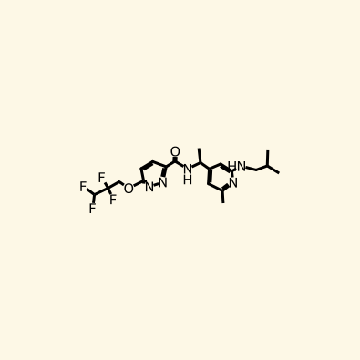 Cc1cc(C(C)NC(=O)c2ccc(OCC(F)(F)C(F)F)nn2)cc(NCC(C)C)n1